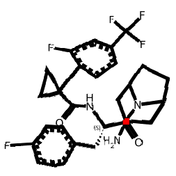 NC1CC2CCC(C1)N2C(=O)[C@H](Cc1ccc(F)cc1)NC(=O)C1(c2ccc(C(F)(F)F)cc2F)CC1